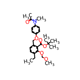 CCc1ccc(COc2ccc(N(C)C(C)=O)cc2)c(C(=O)OC(C)(C)C)c1OCOC